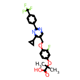 CC(C)(Oc1ccc(OCc2cnc(-c3ccc(C(F)(F)F)cc3)nc2C2CC2)c(F)c1)C(=O)O